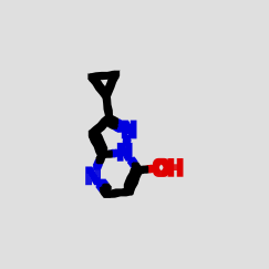 Oc1ccnc2cc(C3CC3)nn12